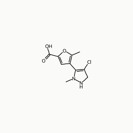 Cc1oc(C(=O)O)cc1C1=C(Cl)CNN1C